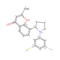 O=Cc1cc(=O)c2cccc(C3CCCN3c3cc(F)cc(F)c3)c2o1